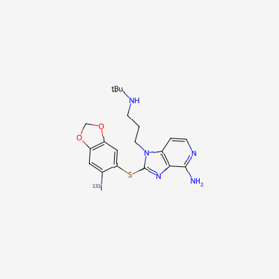 CC(C)(C)NCCCn1c(Sc2cc3c(cc2[131I])OCO3)nc2c(N)nccc21